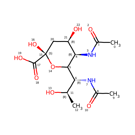 CC(=O)N[C@H]1C([C@H](NC(C)=O)[C@@H](C)O)O[C@](O)(C(=O)O)C[C@H]1O